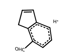 O=Cc1cccc2c1CC=C2.[H+]